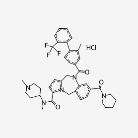 Cc1cc(C(=O)N2Cc3ccc(C(=O)N(C)C4CCN(C)CC4)n3Cc3ccc(C(=O)N4CCCCC4)cc32)ccc1-c1ccccc1C(F)(F)F.Cl